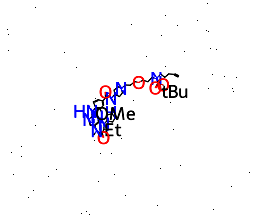 C#CCCCN(CCCOCCCN1CCC(NC(=O)c2ccc(Nc3ncc4c(n3)N(C3CCCC3)[C@H](CC)C(=O)N4C)c(OC)c2)CC1)C(=O)OC(C)(C)C